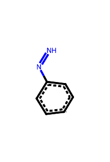 N=Nc1cc[c]cc1